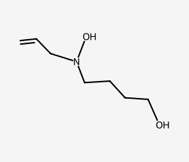 C=CCN(O)CCCCO